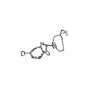 C[C@H]1CCCN(c2nc3cc(Cl)ccc3o2)C1